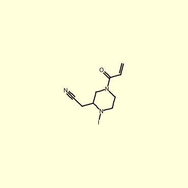 C=CC(=O)N1CCN(I)C(CC#N)C1